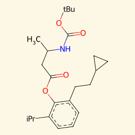 CC(CC(=O)Oc1c(CCC2CC2)cccc1C(C)C)NC(=O)OC(C)(C)C